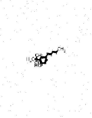 CCCC=Cc1ccc(O)c(C(C)(C)C)c1